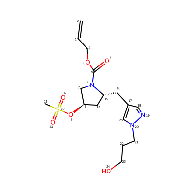 C=CCOC(=O)N1C[C@H](OS(C)(=O)=O)C[C@H]1Cc1cnn(CCCO)c1